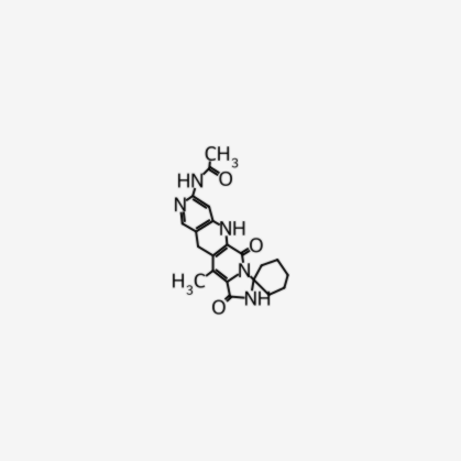 CC(=O)Nc1cc2c(cn1)Cc1c(C)c3n(c(=O)c1N2)C1(CCCCC1)NC3=O